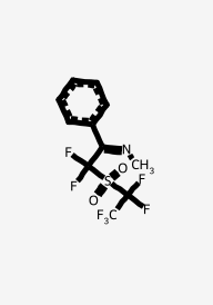 C/N=C(/c1ccccc1)C(F)(F)S(=O)(=O)C(F)(F)C(F)(F)F